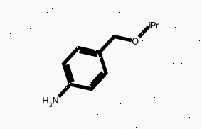 CC(C)OCc1ccc(N)cc1